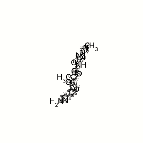 Cc1cc(S(=O)(=O)CCNC(=O)c2cnc(N3CCN(C)CC3)nc2)ccc1C(=O)N1CCOc2ccc(-c3ccc(N)nc3)cc2C1